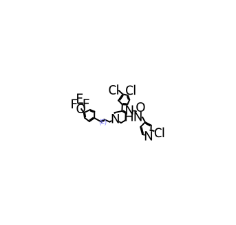 O=C(NCc1ccnc(Cl)c1)n1c2c(c3cc(Cl)c(Cl)cc31)CN(C/C=C/c1ccc(OC(F)(F)F)cc1)CC2